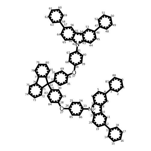 c1ccc(-c2ccc3c(c2)c2cc(-c4ccccc4)ccc2n3-c2ccc(Oc3ccc(C4(c5ccc(Oc6ccc(-n7c8ccc(-c9ccccc9)cc8c8cc(-c9ccccc9)ccc87)cc6)cc5)c5ccccc5-c5ccccc54)cc3)cc2)cc1